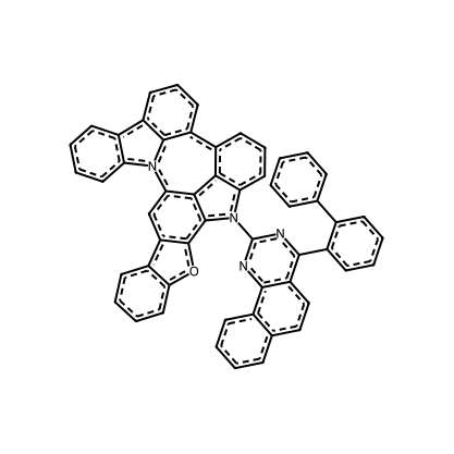 c1ccc(-c2ccccc2-c2nc(-n3c4cccc5c6cccc7c8ccccc8n(c8cc9c%10ccccc%10oc9c3c8c54)c67)nc3c2ccc2ccccc23)cc1